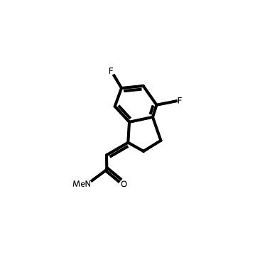 CNC(=O)C=C1CCc2c(F)cc(F)cc21